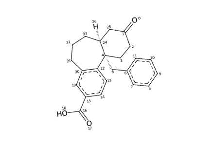 O=C1CC[C@@]2(Cc3ccccc3)c3ccc(C(=O)O)cc3CCC[C@H]2C1